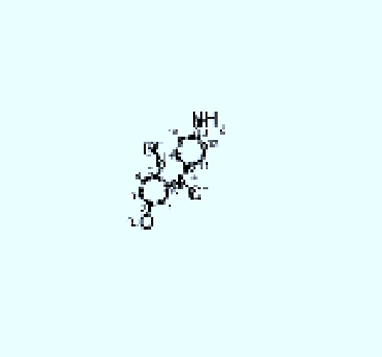 COc1ccc2c(c1)[n+]([O-])c1ccc(N)cc1[n+]2[O-]